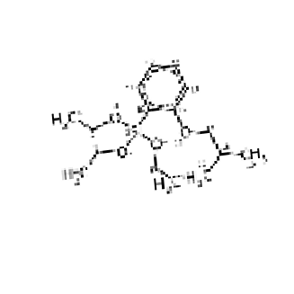 CCO[Si](OCC)(OCC)c1ccccc1OCC(C)C